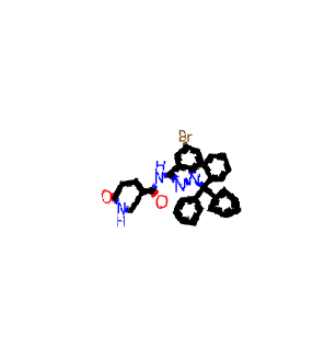 O=C1CCC(C(=O)Nc2nn(C(c3ccccc3)(c3ccccc3)c3ccccc3)c3ccc(Br)cc23)CN1